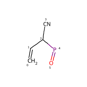 C=CC(C#N)P=O